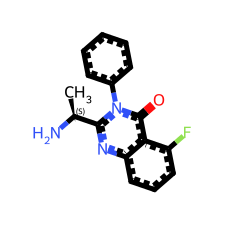 C[C@H](N)c1nc2cccc(F)c2c(=O)n1-c1ccccc1